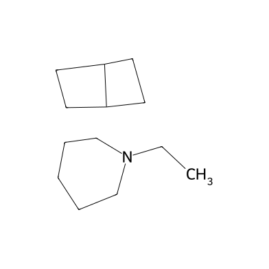 C1CC2CCC12.CCN1CCCCC1